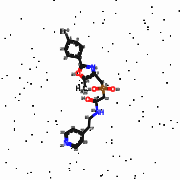 CCc1ccc(-c2nc(CS(=O)(=O)CC(=O)NCCc3ccncc3)c(C)o2)cc1